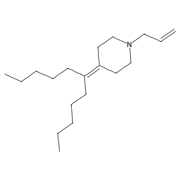 C=CCN1CCC(=C(CCCCC)CCCCC)CC1